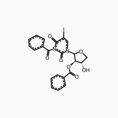 O=C(O[C@H]1C(n2cc(I)c(=O)n(C(=O)c3ccccc3)c2=O)OC[C@@H]1O)c1ccccc1